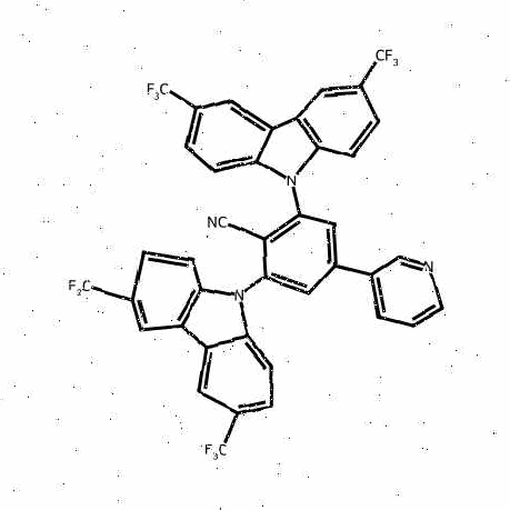 N#Cc1c(-n2c3ccc(C(F)(F)F)cc3c3cc(C(F)(F)F)ccc32)cc(-c2cccnc2)cc1-n1c2ccc(C(F)(F)F)cc2c2cc(C(F)(F)F)ccc21